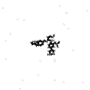 C=Cc1cc2ccc(C/N=C(\C=C/N=C)Nc3ccc(-c4cn[nH]c4)cc3CN(C)C)cc2[nH]1